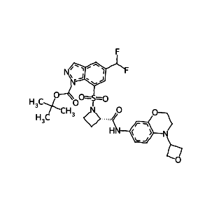 CC(C)(C)OC(=O)n1ncc2cc(C(F)F)cc(S(=O)(=O)N3CC[C@H]3C(=O)Nc3ccc4c(c3)OCCN4C3COC3)c21